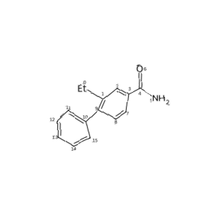 CCc1cc(C(N)=O)ccc1-c1ccccc1